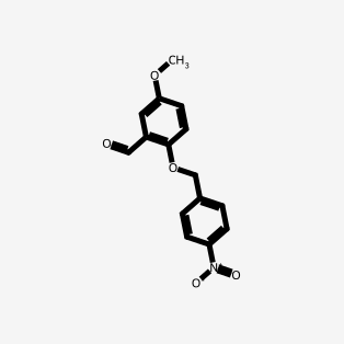 COc1ccc(OCc2ccc([N+](=O)[O-])cc2)c(C=O)c1